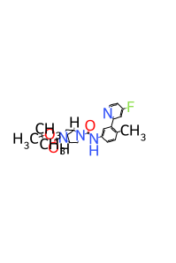 Cc1ccc(NC(=O)N2C[C@@H]3C[C@H]2CN3C(=O)OC(C)(C)C)cc1-c1cc(F)ccn1